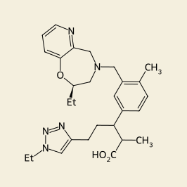 CC[C@@H]1CN(Cc2cc(C(CCc3cn(CC)nn3)C(C)C(=O)O)ccc2C)Cc2ncccc2O1